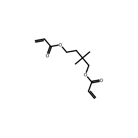 C=CC(=O)OCCC(C)(C)COC(=O)C=C